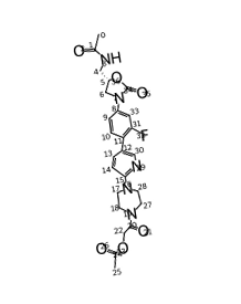 CC(=O)NC[C@H]1CN(c2ccc(-c3ccc(N4CCN(C(=O)COC(C)=O)CC4)nc3)c(F)c2)C(=O)O1